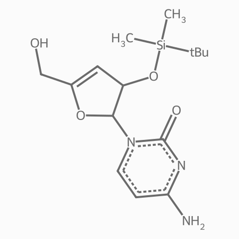 CC(C)(C)[Si](C)(C)OC1C=C(CO)OC1n1ccc(N)nc1=O